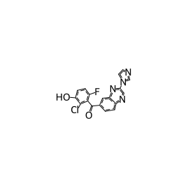 O=C(c1ccc2ncc(-n3ccnc3)nc2c1)c1c(F)ccc(O)c1Cl